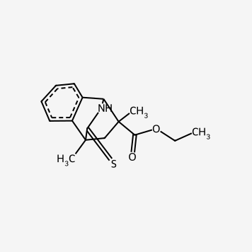 CCOC(=O)C1(C)CC2(C)C(=S)NC1c1ccccc12